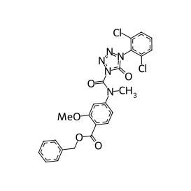 COc1cc(N(C)C(=O)n2nnn(-c3c(Cl)cccc3Cl)c2=O)ccc1C(=O)OCc1ccccc1